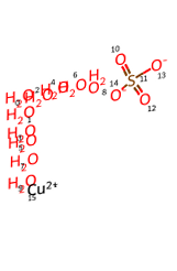 O.O.O.O.O.O.O.O.O.O.O=S(=O)([O-])[O-].[Cu+2]